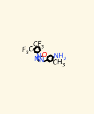 Cc1cc(Cn2cnn(-c3ccc(C(F)(F)F)c(C(F)(F)F)c3)c2=O)ccc1N